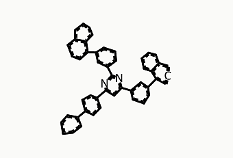 c1ccc(-c2ccc(-c3cc(-c4cccc(-c5cccc6ccccc56)c4)nc(-c4cccc(-c5cccc6ccccc56)c4)n3)cc2)cc1